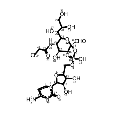 Nc1ccn(C2OC(COP(=O)(O)O[C@@]3(C=O)C[C@@H](O)[C@@H](NC(=O)CCl)C([C@H](O)C(O)CO)O3)[C@@H](O)[C@H]2O)c(=O)n1